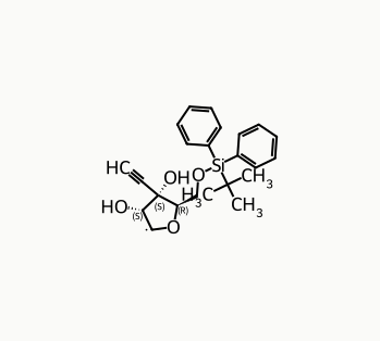 C#C[C@]1(O)[C@@H](O)[CH]O[C@@H]1CO[Si](c1ccccc1)(c1ccccc1)C(C)(C)C